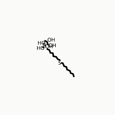 CC(O)CO.CCCCCCCCSCCCCCCCC.OB(O)O